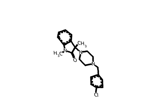 CN1C(=O)C(C)(N2CCN(Cc3ccc(Cl)cc3)CC2)c2ccccc21